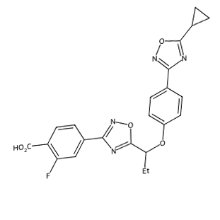 CCC(Oc1ccc(-c2noc(C3CC3)n2)cc1)c1nc(-c2ccc(C(=O)O)c(F)c2)no1